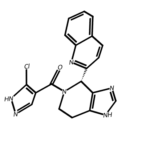 O=C(c1cn[nH]c1Cl)N1CCc2[nH]cnc2[C@H]1c1ccc2ccccc2n1